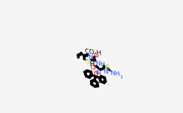 C/C=C\C1=C(C(=O)O)N2C(=O)C(NC(=O)/C(=N\OC(c3ccccc3)(c3ccccc3)c3ccccc3)c3csc(N)n3)[C@H]2SC1